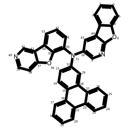 c1ccc2c(c1)oc1ncc(N(c3ccc4c5ccccc5c5ccccc5c4c3)c3cccc4c3oc3ccncc34)cc12